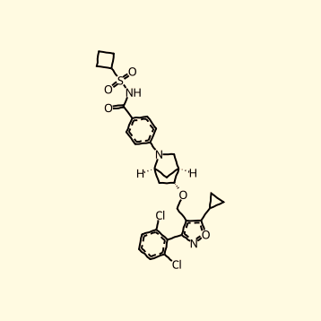 O=C(NS(=O)(=O)C1CCC1)c1ccc(N2C[C@@H]3C[C@H]2C[C@H]3OCc2c(-c3c(Cl)cccc3Cl)noc2C2CC2)cc1